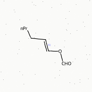 CCCC/C=C/OC=O